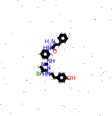 NC(Cc1ccccc1)C(=O)Nc1cccc(Nc2ncc(Br)c(NCCc3ccc(O)cc3)n2)c1